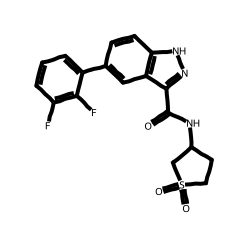 O=C(NC1CCS(=O)(=O)C1)c1n[nH]c2ccc(-c3cccc(F)c3F)cc12